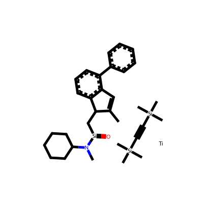 CC1=Cc2c(-c3ccccc3)cccc2C1C[Si](=O)N(C)C1CCCCC1.C[Si](C)(C)C#C[Si](C)(C)C.[Ti]